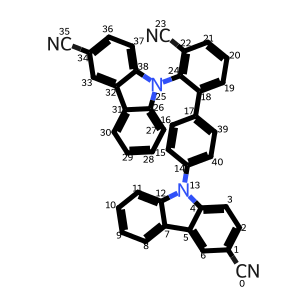 N#Cc1ccc2c(c1)c1ccccc1n2-c1ccc(-c2cccc(C#N)c2-n2c3ccccc3c3cc(C#N)ccc32)cc1